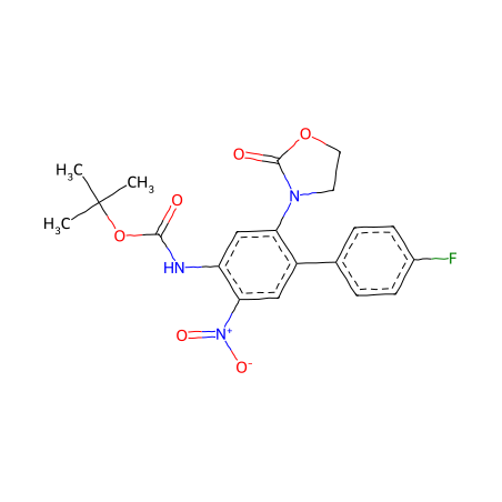 CC(C)(C)OC(=O)Nc1cc(N2CCOC2=O)c(-c2ccc(F)cc2)cc1[N+](=O)[O-]